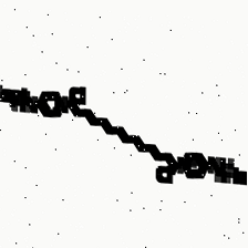 CCCCCCCNc1cc[n+](C(Cl)CCCCCCCCCCCCC(Cl)[n+]2ccc(NCCCCCCC)cc2)cc1